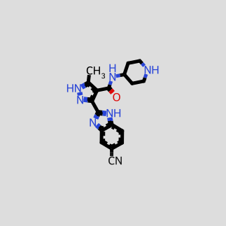 Cc1[nH]nc(-c2nc3cc(C#N)ccc3[nH]2)c1C(=O)NC1CCNCC1